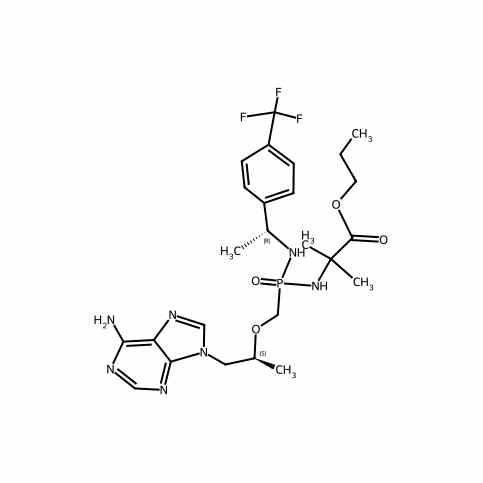 CCCOC(=O)C(C)(C)NP(=O)(CO[C@@H](C)Cn1cnc2c(N)ncnc21)N[C@H](C)c1ccc(C(F)(F)F)cc1